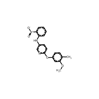 COc1cc(Oc2ccc(Nc3ccccc3[N+](=O)[O-])cn2)ccc1C